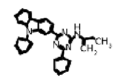 C=C(CC)Nc1nc(-c2ccccc2)nc(-c2ccc3c4ccccc4n(-c4ccccc4)c3c2)n1